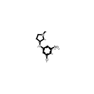 CN1CCC(Oc2cc(Cl)cc([N+](=O)[O-])c2)C1